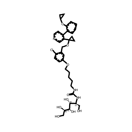 O=C(NCCCCCOc1ccc(Cl)c(COC2(c3cnccc3-c3ccccc3OC3CC3)CC2)c1)N[C@@H](CO)[C@@H](O)[C@H](O)[C@H](O)CO